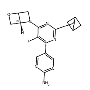 Nc1ncc(-c2nc(N3CC4CC3C4)nc(N3CC4OC[C@H]43)c2F)cn1